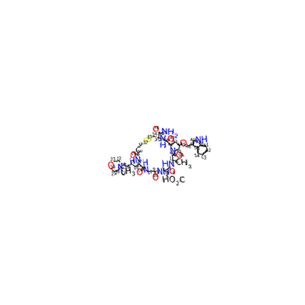 CC1NC(=O)C(CC(=O)O)NC(=O)CNC(=O)C(CCCC[N+]2(C)CCOCC2)NC(=O)CCSSCC(C(N)=O)NC(=O)C2CC(OCc3c[nH]c4ccccc34)CN2C1=O